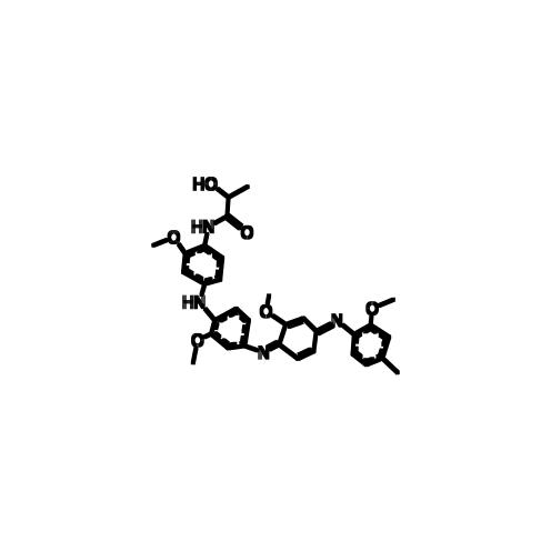 COC1=CC(=Nc2ccc(C)cc2OC)C=CC1=Nc1ccc(Nc2ccc(NC(=O)C(C)O)c(OC)c2)c(OC)c1